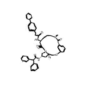 CN1CCC[C@H](NC(=O)Cc2ccc(-c3ccccc3)cc2)C(=O)N2C[C@@H](NC(=O)C(c3ccccc3)c3ccccc3)C[C@H]2COc2cccc(c2)C1=O